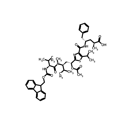 CC(=O)O[C@H](C[C@@H](C(C)C)N(C)C(=O)[C@@H](NC(=O)OCC1c2ccccc2-c2ccccc21)C(C)C)c1nc(C(=O)N[C@H](Cc2ccccc2)C[C@H](C)C(=O)O)c(C(C)C)s1